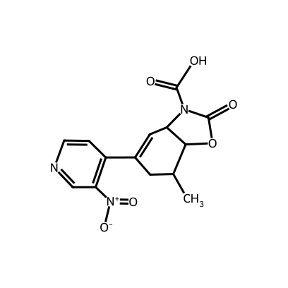 CC1CC(c2ccncc2[N+](=O)[O-])=CC2C1OC(=O)N2C(=O)O